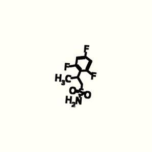 CC(CS(N)(=O)=O)c1c(F)cc(F)cc1F